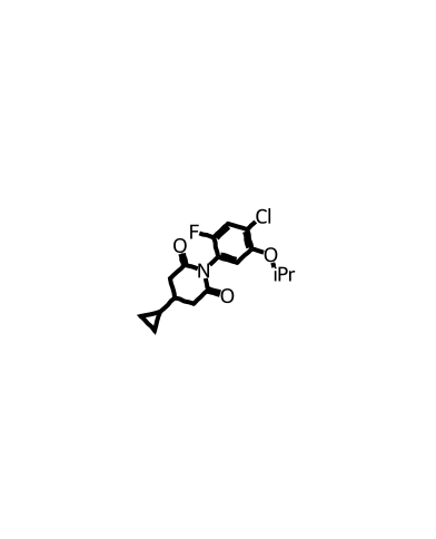 CC(C)Oc1cc(N2C(=O)CC(C3CC3)CC2=O)c(F)cc1Cl